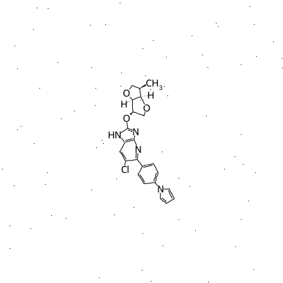 C[C@@H]1CO[C@H]2[C@@H]1OC[C@H]2Oc1nc2nc(-c3ccc(-n4cccc4)cc3)c(Cl)cc2[nH]1